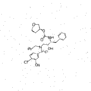 CC(C)CN(C[C@@H](O)[C@H](Cc1ccccc1)NC(=O)O[C@H]1CCOC1)[S+]([O-])c1ccc(Cl)c(O)c1